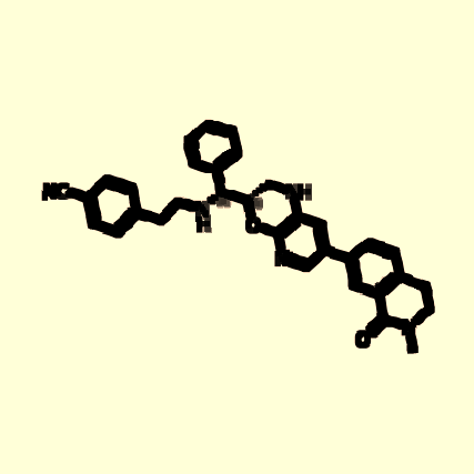 CN1CCc2ccc(-c3cnc4c(c3)NC[C@@H]([C@H](NCCc3ccc(C#N)cc3)c3ccccc3)O4)cc2C1=O